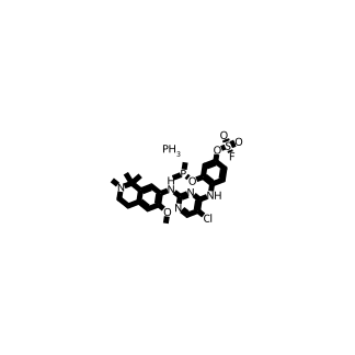 COc1cc2c(cc1Nc1ncc(Cl)c(Nc3ccc(OS(=O)(=O)F)cc3OP(C)C)n1)C(C)(C)N(C)CC2.P